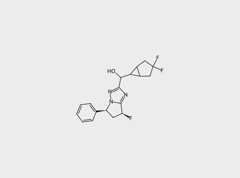 OC(c1nc2n(n1)[C@H](c1ccccc1)C[C@@H]2F)C1C2CC(F)(F)CC21